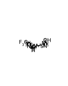 Oc1ccnc(SCCCN2C[C@@H]3C[C@]3(c3ccc(C(F)(F)F)cn3)C2)n1